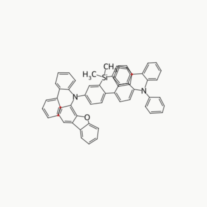 C[Si]1(C)c2cc(N(c3ccccc3-c3ccccc3)c3cccc4c3oc3ccccc34)ccc2-c2ccc(N(c3ccccc3)c3ccccc3-c3ccccc3)c3cccc1c23